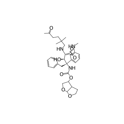 CNc1cccc([C@](Cc2ccccc2)(NC(=O)OC2COC3OCCC23)[C@@H](O)C(NCC(C)(C)CCC(C)=O)=S(=O)=O)c1